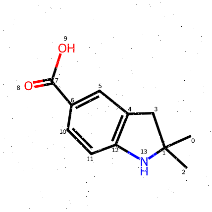 CC1(C)Cc2cc(C(=O)O)ccc2N1